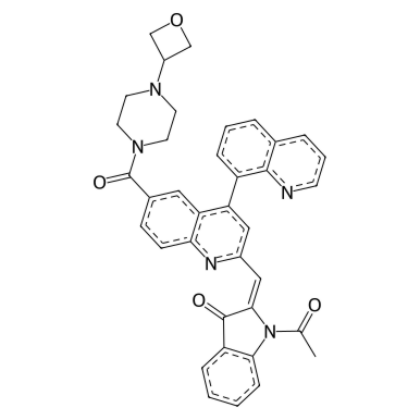 CC(=O)N1C(=Cc2cc(-c3cccc4cccnc34)c3cc(C(=O)N4CCN(C5COC5)CC4)ccc3n2)C(=O)c2ccccc21